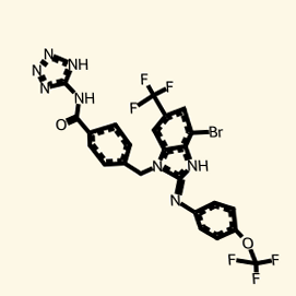 O=C(Nc1nnn[nH]1)c1ccc(Cn2/c(=N/c3ccc(OC(F)(F)F)cc3)[nH]c3c(Br)cc(C(F)(F)F)cc32)cc1